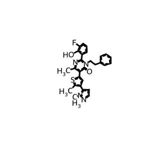 Cc1nc(-c2cccc(F)c2O)n(CCc2ccccc2)c(=O)c1-c1cc(-c2ccnn2C)c(C)s1